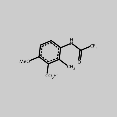 CCOC(=O)c1c(OC)ccc(NC(=O)C(F)(F)F)c1C